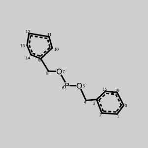 c1ccc(CO[P]OCc2ccccc2)cc1